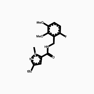 COc1ccc(F)c(CNC(=O)c2cc(C(C)(C)C)nn2C)c1OC